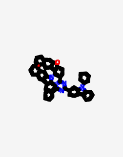 c1ccc(-c2nc(-c3ccc4c5ccccc5n(-c5ccccc5)c4c3)nc(-c3ccc4oc5cc6ccccc6cc5c4c3-n3c4ccccc4c4cc5ccccc5cc43)n2)cc1